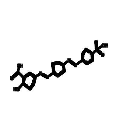 O=C(O)c1cc(/N=N/c2ccc(/N=N/c3ccc(S(=O)(=O)O)cc3)cc2)ccc1O